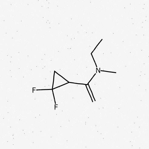 C=C(C1CC1(F)F)N(C)CC